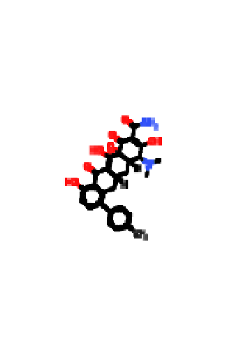 CN(C)[C@@H]1C(O)=C(C(N)=O)C(=O)[C@@]2(O)C(O)=C3C(=O)c4c(O)ccc(-c5ccc(C(F)(F)F)cc5)c4C[C@H]3C[C@@H]12